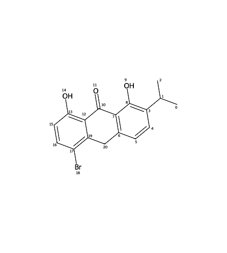 CC(C)c1ccc2c(c1O)C(=O)c1c(O)ccc(Br)c1C2